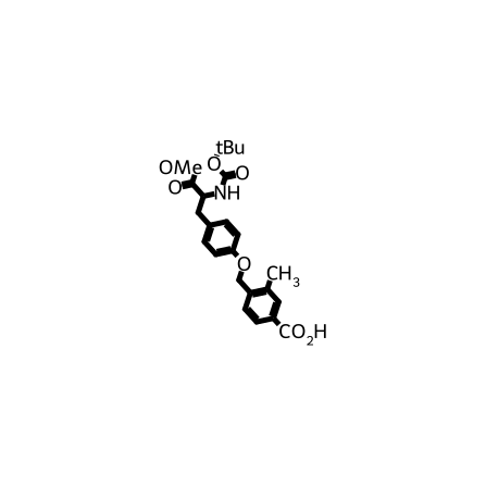 COC(=O)C(Cc1ccc(OCc2ccc(C(=O)O)cc2C)cc1)NC(=O)OC(C)(C)C